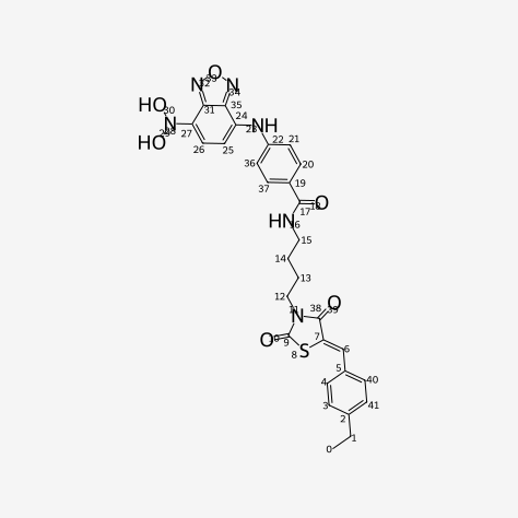 CCc1ccc(/C=C2\SC(=O)N(CCCCNC(=O)c3ccc(Nc4ccc(N(O)O)c5nonc45)cc3)C2=O)cc1